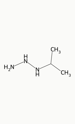 CC(C)NNN